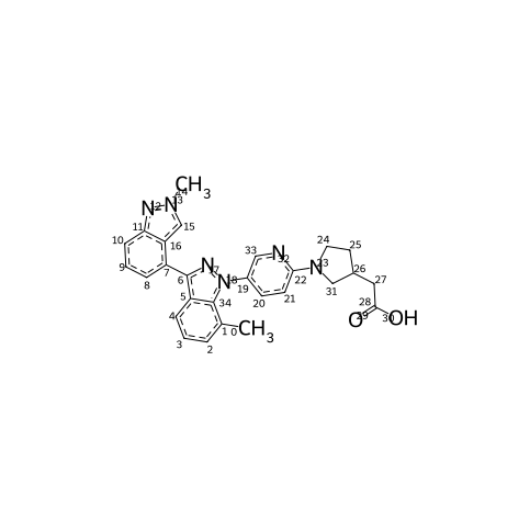 Cc1cccc2c(-c3cccc4nn(C)cc34)nn(-c3ccc(N4CCC(CC(=O)O)C4)nc3)c12